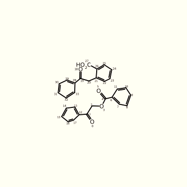 O=C(COC(=O)c1ccccc1)c1ccccc1.O=C(Cc1ccccc1C(=O)O)c1ccccc1